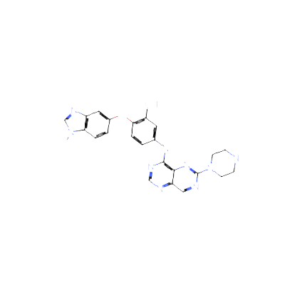 Cc1cc(Nc2ncnc3cnc(N4CCNCC4)nc23)ccc1Oc1ccc2c(c1)ncn2C